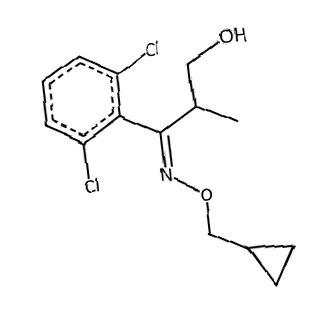 CC(CO)/C(=N\OCC1CC1)c1c(Cl)cccc1Cl